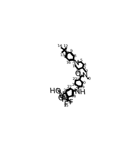 CN(CC1CCN(c2ccc(C(C)(C)C)cc2)CC1)C(=O)C1CCC(Nc2ccc(N(O)O)c(C(F)(F)F)c2)CC1